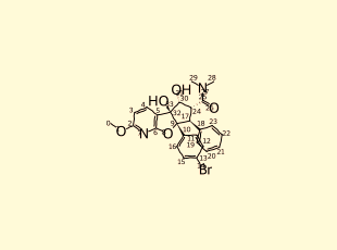 COc1ccc2c(n1)O[C@@]1(c3ccc(Br)cc3)[C@H](c3ccccc3)[C@@H](C(=O)N(C)C)[C@@H](O)[C@@]21O